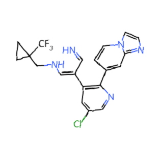 N=C/C(=C\NCC1(C(F)(F)F)CC1)c1cc(Cl)cnc1-c1ccn2ccnc2c1